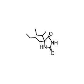 CCCCC1(C(C)CC)NC(=O)NC1=O